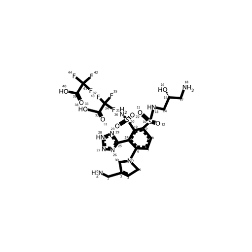 NCC1=CCN(c2ccc(S(=O)(=O)NC[C@H](O)CN)c(S(N)(=O)=O)c2-c2nn[nH]n2)C1.O=C(O)C(F)(F)F.O=C(O)C(F)(F)F